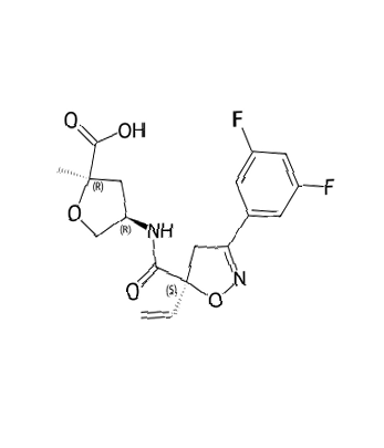 C=C[C@]1(C(=O)N[C@H]2CO[C@@](C)(C(=O)O)C2)CC(c2cc(F)cc(F)c2)=NO1